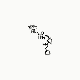 CS(=O)(=O)CC(=O)NCCC(=O)Nc1ccc2ncnc(NCCc3ccccc3)c2c1